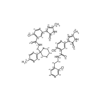 Cc1ccc(C2(CNC(=O)c3cc(-n4nc(C)[nH]c4=O)ccc3Cl)CCCCC2)cc1.Cc1nn(-c2ccc(Cl)c(C(=O)NCCc3ccccc3Cl)c2)c(=O)[nH]1